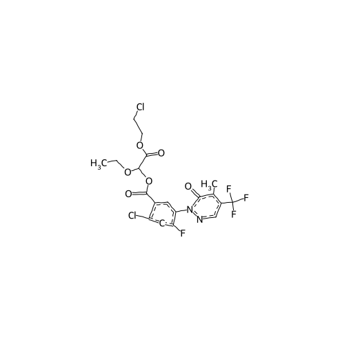 CCOC(OC(=O)c1cc(-n2ncc(C(F)(F)F)c(C)c2=O)c(F)cc1Cl)C(=O)OCCCl